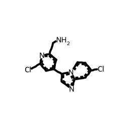 NCc1cc(-c2cnc3cc(Cl)ccn23)cc(Cl)n1